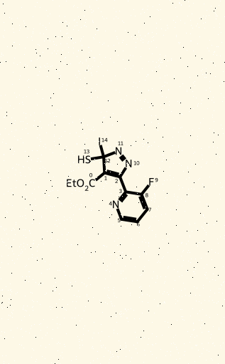 CCOC(=O)C1=C(c2ncccc2F)N=NC1(S)I